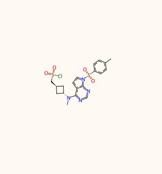 Cc1ccc(S(=O)(=O)n2ccc3c(N(C)[C@H]4C[C@H](CS(=O)(=O)Cl)C4)ncnc32)cc1